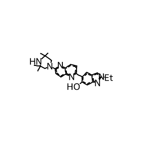 CCn1cc2cc(-c3ccc4nc(N5CC(C)(C)NC(C)(C)C5)ccc4n3)c(O)cc2n1